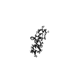 CC(C)=Nc1cc(C2=CC(=O)N3C=C(N4CCC(N(C)C)CC4)C=CC3P2)ccc1C